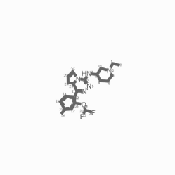 CCN1CCCC(NC2=NN=C(c3ccc(C)cc3OC(F)F)C3CC=CN23)C1